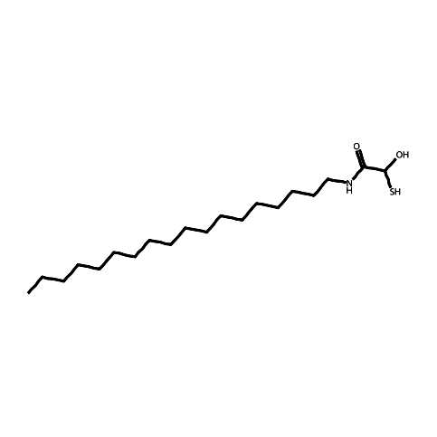 CCCCCCCCCCCCCCCCCCNC(=O)C(O)S